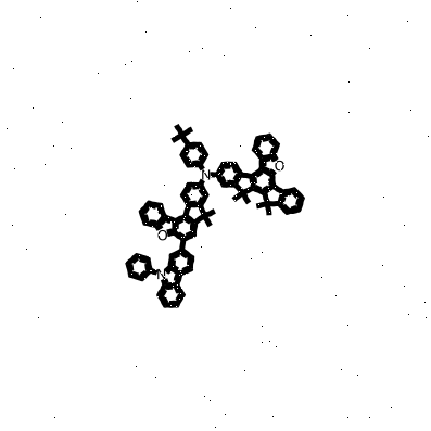 CC(C)(C)c1ccc(N(c2ccc3c(c2)C(C)(C)c2cc(-c4ccc5c6ccccc6n(-c6ccccc6)c5c4)c4oc5ccccc5c4c2-3)c2ccc3c(c2)C(C)(C)c2c4c(c5oc6ccccc6c5c2-3)-c2ccccc2C4(C)C)cc1